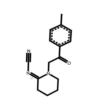 Cc1ccc(C(=O)CN2CCCC/C2=N/C#N)cc1